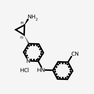 Cl.N#Cc1cccc(Nc2ccc([C@@H]3C[C@H]3N)cn2)c1